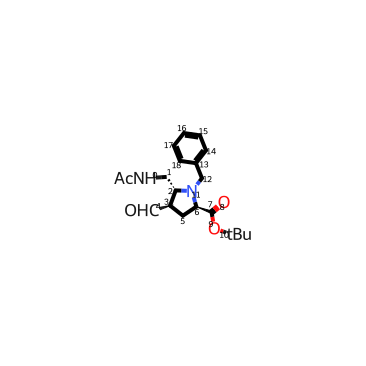 CC(=O)NC[C@H]1[C@H](C=O)C[C@H](C(=O)OC(C)(C)C)N1Cc1ccccc1